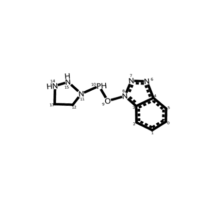 c1ccc2c(c1)nnn2OPN1CCNN1